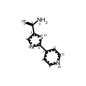 NC(=S)c1cnc(-c2ccncc2)s1